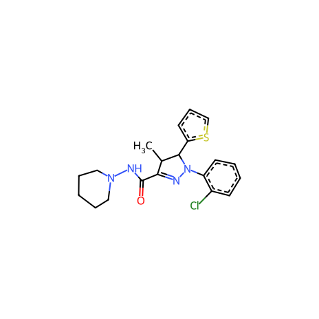 CC1C(C(=O)NN2CCCCC2)=NN(c2ccccc2Cl)C1c1cccs1